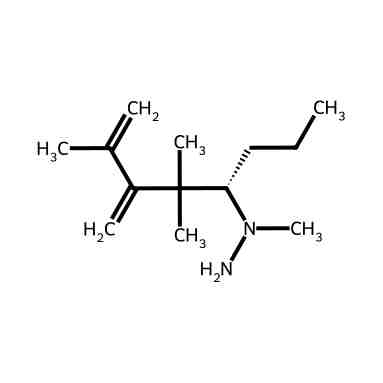 C=C(C)C(=C)C(C)(C)[C@H](CCC)N(C)N